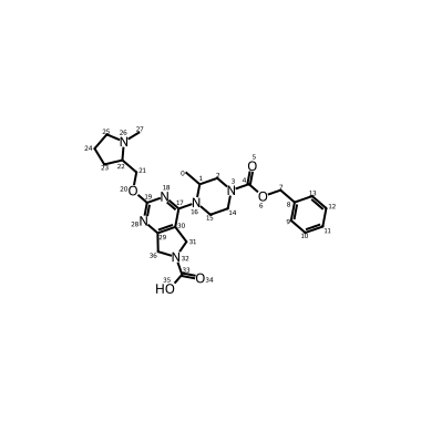 CC1CN(C(=O)OCc2ccccc2)CCN1c1nc(OCC2CCCN2C)nc2c1CN(C(=O)O)C2